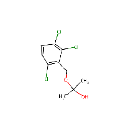 CC(C)(O)OCc1c(Cl)ccc(Cl)c1Cl